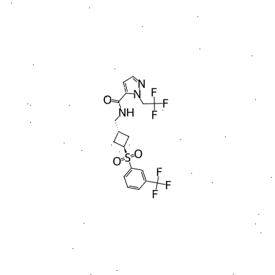 O=C(NC[C@H]1C[C@H](S(=O)(=O)c2cccc(C(F)(F)F)c2)C1)c1ccnn1CC(F)(F)F